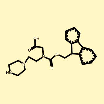 O=C(O)CN(CCN1CCNCC1)C(=O)OCC1c2ccccc2-c2ccccc21